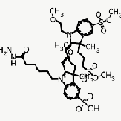 COCCN1/C(=C/C=C/C2=[N+](CCCCCC(=O)NN)c3ccc(S(=O)(=O)O)cc3C2(C)CCOC)C(C)(CCCS(=O)(=O)OC)c2cc(S(=O)(=O)OC)ccc21